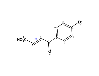 CCc1ccc(C(=O)/C=C/C(=O)O)cc1